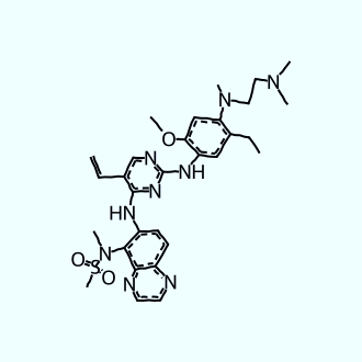 C=Cc1cnc(Nc2cc(CC)c(N(C)CCN(C)C)cc2OC)nc1Nc1ccc2nccnc2c1N(C)S(C)(=O)=O